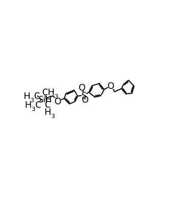 C[SiH](C)C(C)(C)COc1ccc(S(=O)(=O)c2ccc(OCc3ccccc3)cc2)cc1